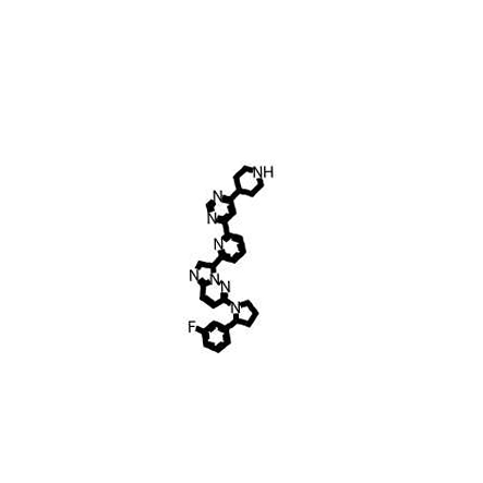 Fc1cccc(C2CCCN2C2=NN3C(=NCC3c3cccc(-c4cc(C5CCNCC5)ncn4)n3)C=C2)c1